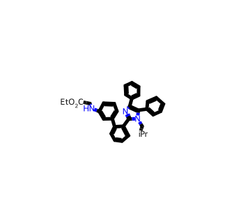 CCOC(=O)CNc1cccc(-c2ccccc2-c2nc(-c3ccccc3)c(-c3ccccc3)n2CC(C)C)c1